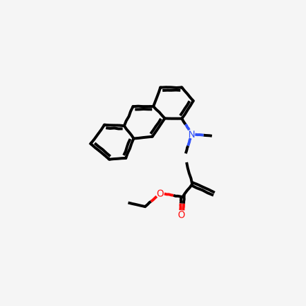 C=C(C)C(=O)OCC.CN(C)c1cccc2cc3ccccc3cc12